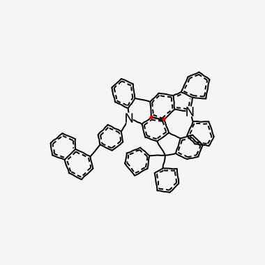 c1ccc(-n2c3ccccc3c3cc(-c4ccccc4N(c4ccc(-c5cccc6ccccc56)cc4)c4ccc5c(c4)C(c4ccccc4)(c4ccccc4)c4ccccc4-5)ccc32)cc1